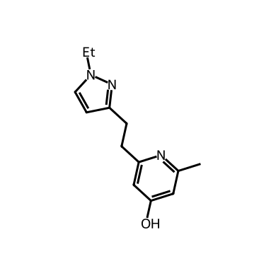 CCn1ccc(CCc2cc(O)cc(C)n2)n1